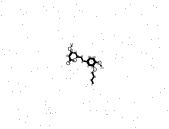 CCCCOc1cc(CCC2CC(OC)=CC(=O)O2)ccc1OC